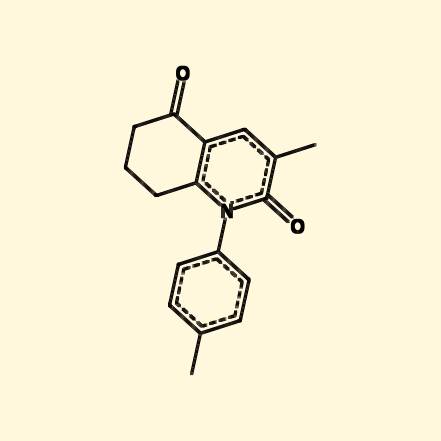 Cc1ccc(-n2c3c(cc(C)c2=O)C(=O)CCC3)cc1